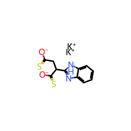 [K+].[K+].[O-]C(=S)CC(C([O-])=S)c1nc2ccccc2[nH]1